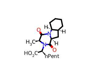 CCCCC[C@@H](C(=O)O)N1C(=O)[C@@H]2C[C@@H]3CCCC[C@@H]3N2C(=O)[C@@H]1C